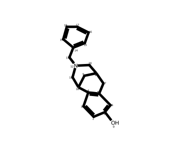 Oc1ccc2c(c1)CC1CC2CN(Cc2ccccc2)C1